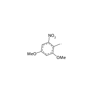 [CH2]c1c(OC)cc(OC)cc1[N+](=O)[O-]